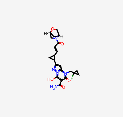 NC(=O)c1c(O)n2nc(C3CC3/C=C/C(=O)N3C[C@H]4C[C@@H]3CO4)cc2n(CC2(F)CC2)c1=O